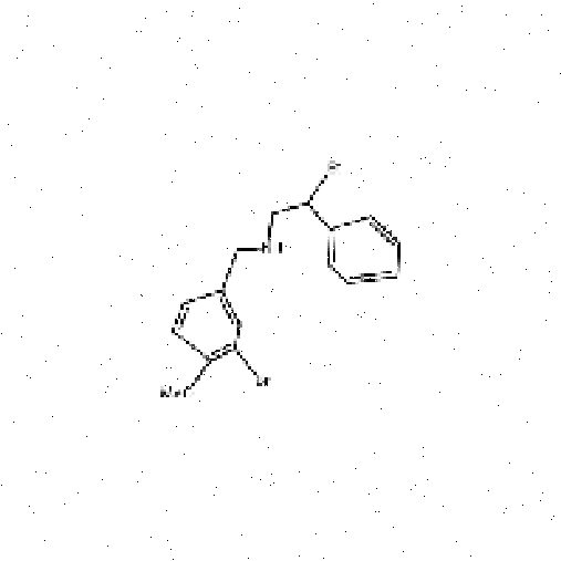 CCC(CNCc1ccc(OC)c(Br)c1)c1ccccc1